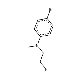 CN(CCF)c1ccc(Br)cc1